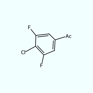 CC(=O)c1cc(F)c(Cl)c(F)c1